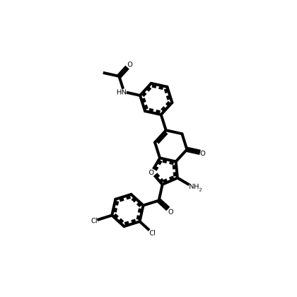 CC(=O)Nc1cccc(C2=Cc3oc(C(=O)c4ccc(Cl)cc4Cl)c(N)c3C(=O)C2)c1